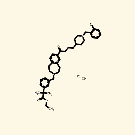 CCOC(=O)C(C)(C)c1cccc(CN2CCc3ccc(C(=O)CCCC4CCN(Cc5ccccc5Cl)CC4)cc3CC2)c1.Cl.Cl